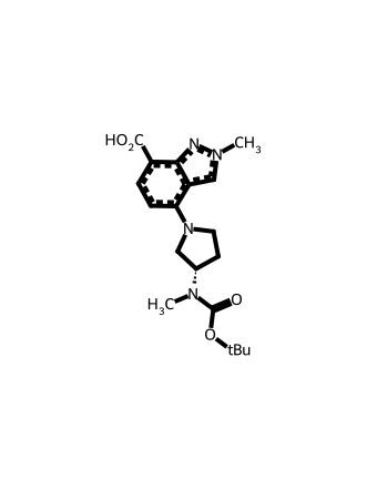 CN(C(=O)OC(C)(C)C)[C@H]1CCN(c2ccc(C(=O)O)c3nn(C)cc23)C1